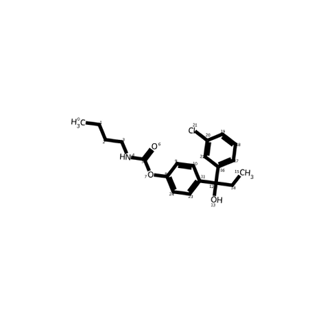 CCCCNC(=O)Oc1ccc(C(O)(CC)c2cccc(Cl)c2)cc1